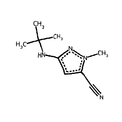 Cn1nc(NC(C)(C)C)cc1C#N